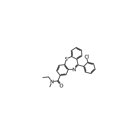 CCN(C)C(=O)c1ccc2c(c1)N=C(c1ccccc1Cl)c1ccccc1S2